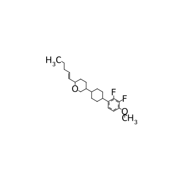 CCC/C=C/C1CCC(C2CCC(c3ccc(OC)c(F)c3F)CC2)CO1